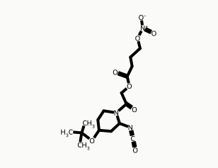 CC(C)(C)OC1CCN(C(=O)COC(=O)CCCO[N+](=O)[O-])C(N=C=O)C1